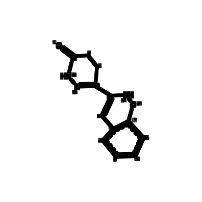 O=C1CCC(C2=Cc3ccccc3ON2)=NN1